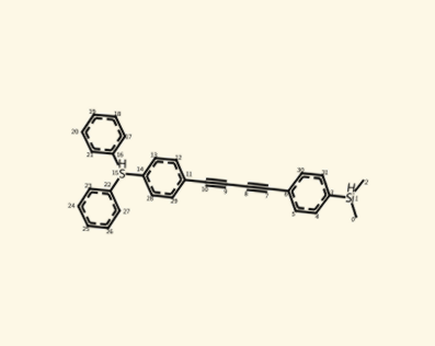 C[SiH](C)c1ccc(C#CC#Cc2ccc([SH](c3ccccc3)c3ccccc3)cc2)cc1